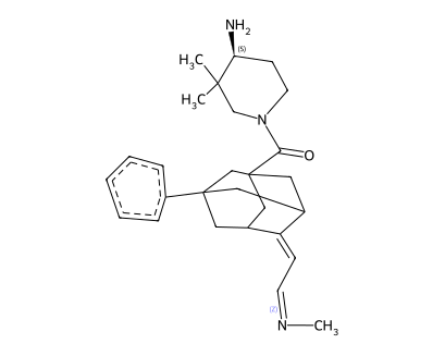 C/N=C\C=C1C2CC3(C(=O)N4CC[C@H](N)C(C)(C)C4)CC1CC(c1ccccc1)(C2)C3